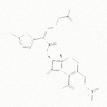 CC(=O)OCC1=C(C(=O)O)N2C(=O)[C@@H](NC(=O)/C(=N\OCC(=O)O)c3csc(N)n3)[C@@H]2SC1